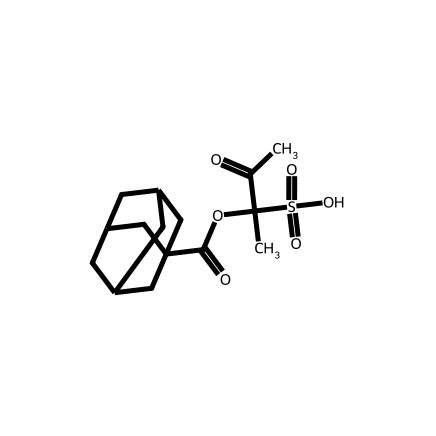 CC(=O)C(C)(OC(=O)C12CC3CC(CC(C3)C1)C2)S(=O)(=O)O